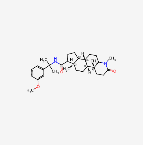 COc1cccc(C(C)(C)NC(=O)C2CC[C@H]3[C@@H]4CCC5N(C)C(=O)CC[C@]5(C)[C@@H]4CC[C@]23C)c1